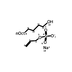 C=CCOS(=O)(=O)[O-].CCCCCCCCCCCCO.[Na+]